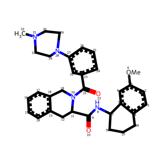 COc1ccc2c(c1)C(NC(=O)C1Cc3ccccc3CN1C(=O)c1cccc(N3CCN(C)CC3)c1)CCC2